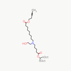 CC#CCCOC(=O)CCCCCCCCN(CCO)CCCCC(=O)OC(CCCCCCCC)CCCCCCCC